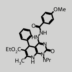 CCCn1c2c(c(NNC(=O)c3ccc(OC)cc3)nc1=O)C(c1ccccc1)C(C(=O)OCC)=C(C)N2